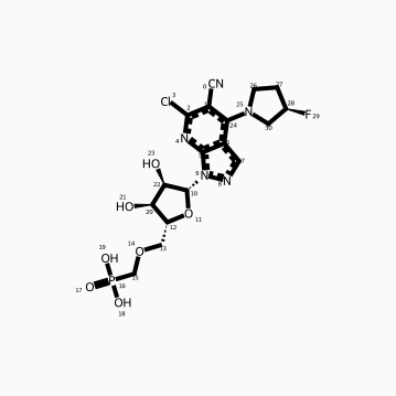 N#Cc1c(Cl)nc2c(cnn2[C@@H]2O[C@H](COCP(=O)(O)O)[C@@H](O)[C@H]2O)c1N1CC[C@@H](F)C1